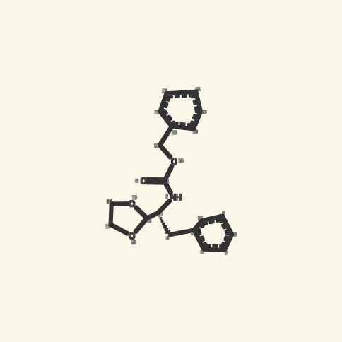 O=C(N[C@H](Cc1ccccc1)C1OCCO1)OCc1ccccc1